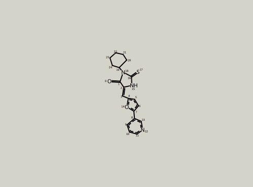 O=C1/C(=C/c2ccc(-c3cccnc3)o2)NC(=S)N1C1CCCCC1